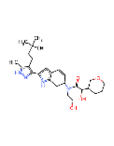 Cc1[nH]nc(-c2cc3c([nH]2)CC(N(CCO)C(=O)C(O)C2CCCOC2)C=C3)c1CCC(C)(C)C